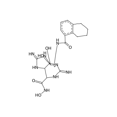 N=C1NC2C(C(=O)NO)NC(=N)N3CC(NC(=O)c4cccc5c4CCCC5)C(O)(O)C23N1